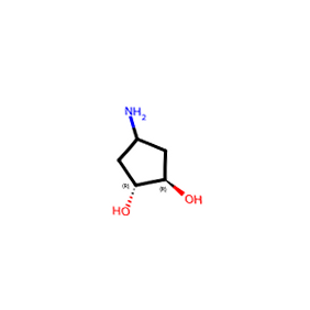 NC1C[C@@H](O)[C@H](O)C1